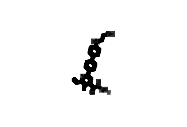 C=Cc1nc(-c2ccc(-c3ccc(NCCO)cc3)cc2)cc(C(=O)NN)c1C